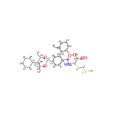 CSCC[C@H](NC(=O)c1ccc([C@@H](OC(C)CC2CCCCC2)OC(C)(C)C)cc1-c1ccccc1C)C(=O)O